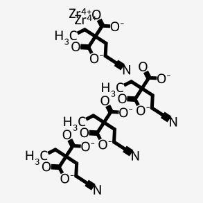 CCC(CCC#N)(C(=O)[O-])C(=O)[O-].CCC(CCC#N)(C(=O)[O-])C(=O)[O-].CCC(CCC#N)(C(=O)[O-])C(=O)[O-].CCC(CCC#N)(C(=O)[O-])C(=O)[O-].[Zr+4].[Zr+4]